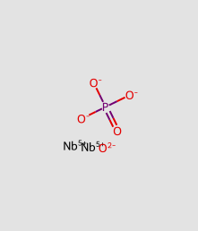 O=P([O-])([O-])[O-].[Nb+5].[Nb+5].[O-2]